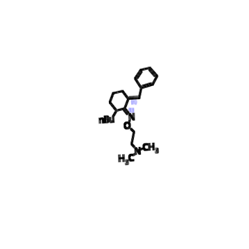 CCCCC1CCCC(=C\c2ccccc2)/C1=N/OCCN(C)C